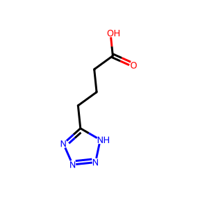 O=C(O)CCCc1nnn[nH]1